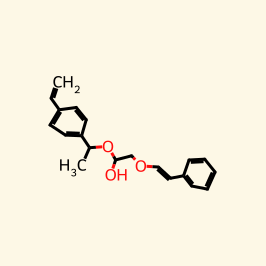 C=Cc1ccc(C(C)OC(O)COC=Cc2ccccc2)cc1